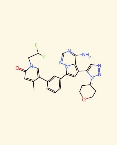 Cc1cc(=O)n(CC(F)F)cc1-c1cccc(-c2cc(-c3cnnn3C3CCOCC3)c3c(N)ncnn23)c1